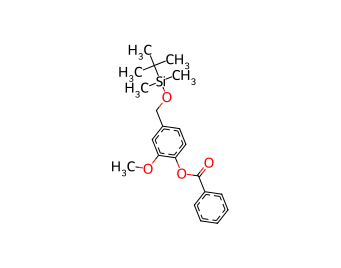 COc1cc(CO[Si](C)(C)C(C)(C)C)ccc1OC(=O)c1ccccc1